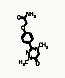 CN1CC(=O)N(C)N=C1c1ccc(OCC(N)=O)cc1